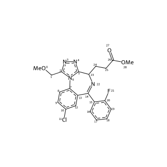 COCc1nnc2n1-c1ccc(Cl)cc1C(c1ccccc1F)=NC2CCC(=O)OC